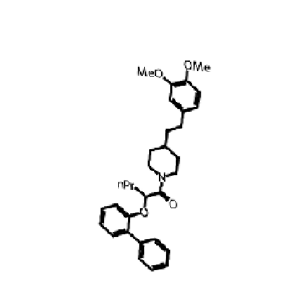 CCCC(Oc1ccccc1-c1ccccc1)C(=O)N1CCC(CCc2ccc(OC)c(OC)c2)CC1